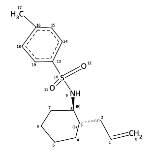 C=CC[C@@H]1CCCC[C@H]1NS(=O)(=O)c1ccc(C)cc1